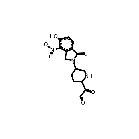 O=CC(=O)C1CCC(N2Cc3c(ccc(O)c3[N+](=O)[O-])C2=O)CN1